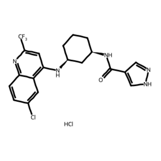 Cl.O=C(N[C@@H]1CCC[C@H](Nc2cc(C(F)(F)F)nc3ccc(Cl)cc23)C1)c1cn[nH]c1